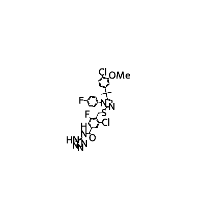 COc1cc(C(C)(C)c2cnc(SCc3c(F)cc(C(=O)Nc4nnn[nH]4)cc3Cl)n2-c2ccc(F)cc2)ccc1Cl